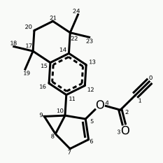 C#CC(=O)OC1=CCC2CC12c1ccc2c(c1)C(C)(C)CCC2(C)C